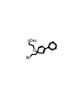 CCCCCCCCCCCCOC1(CCBr)C=CC(c2ccccc2)=CC1